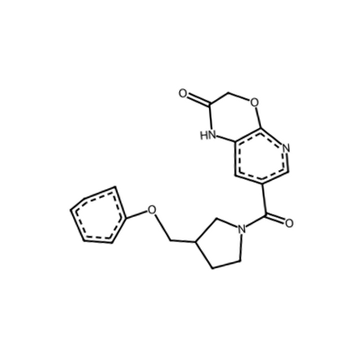 O=C1COc2ncc(C(=O)N3CCC(COc4ccccc4)C3)cc2N1